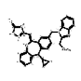 COCc1nc2ccccc2n1Cc1ccc2c(c1)C(=Cc1noc(=O)[nH]1)Oc1ccccc1C2C1CC1